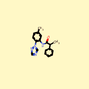 CC(C(=O)Nc1cc(C(F)(F)F)ccc1-n1cncn1)c1ccccc1